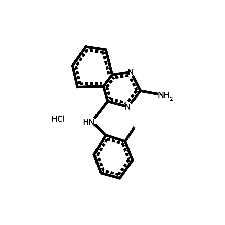 Cc1ccccc1Nc1nc(N)nc2ccccc12.Cl